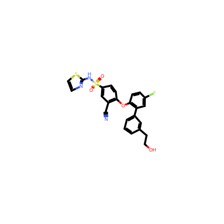 N#Cc1cc(S(=O)(=O)Nc2nccs2)ccc1Oc1ccc(F)cc1-c1cccc(CCO)c1